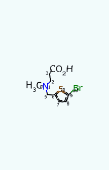 CN(CCC(=O)O)Cc1ccc(Br)s1